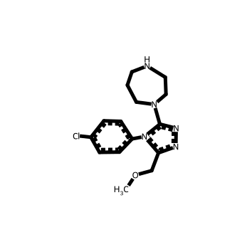 COCc1nnc(N2CCCNCC2)n1-c1ccc(Cl)cc1